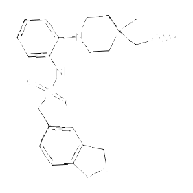 COCC1(C)CCN(c2ccccc2NS(=O)(=O)Cc2ccc3c(c2)COC3)CC1